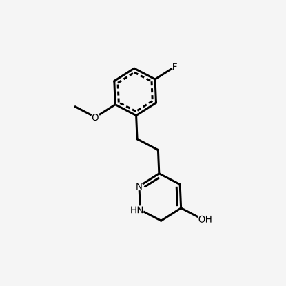 COc1ccc(F)cc1CCC1=NNCC(O)=C1